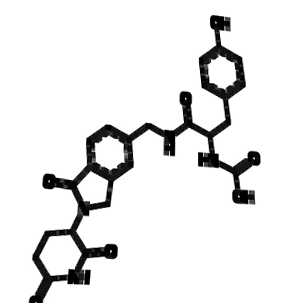 O=C(O)NC(Cc1ccc(O)cc1)C(=O)NCc1ccc2c(c1)CN(C1CCC(=O)NC1=O)C2=O